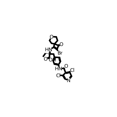 CC[C@@](Cc1ccc(NC(=O)c2c(Cl)cncc2Cl)cc1)(NC1=C(Br)C(=O)C12CCOCC2)C(=O)O